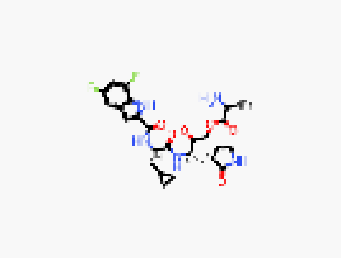 CC(C)C(N)C(=O)OCC(=O)[C@H](C[C@@H]1CCNC1=O)NC(=O)[C@H](CC1CC1)NC(=O)c1cc2cc(F)cc(F)c2[nH]1